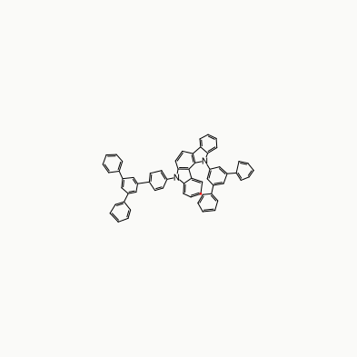 c1ccc(-c2cc(-c3ccccc3)cc(-c3ccc(-n4c5ccccc5c5c4ccc4c6ccccc6n(-c6cc(-c7ccccc7)cc(-c7ccccc7)c6)c45)cc3)c2)cc1